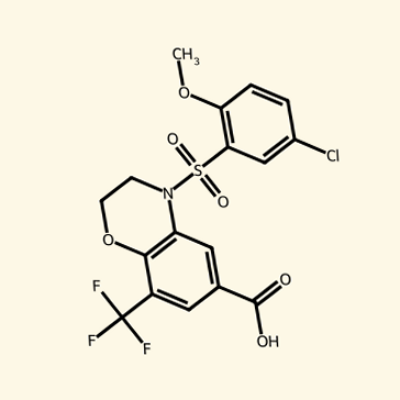 COc1ccc(Cl)cc1S(=O)(=O)N1CCOc2c1cc(C(=O)O)cc2C(F)(F)F